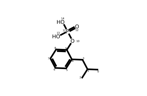 CC(C)Cc1ccccc1OP(=O)(O)O